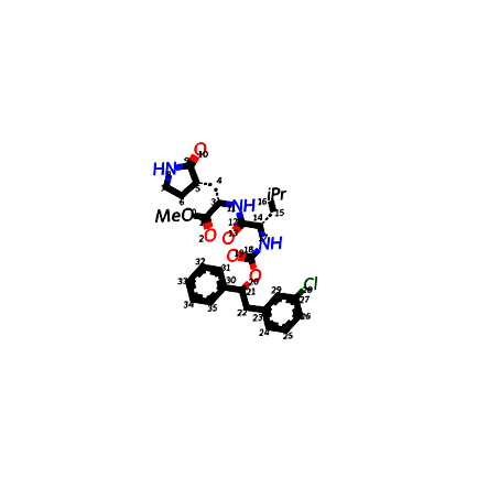 COC(=O)[C@H](C[C@@H]1CCNC1=O)NC(=O)[C@H](CC(C)C)NC(=O)OC(Cc1cccc(Cl)c1)c1ccccc1